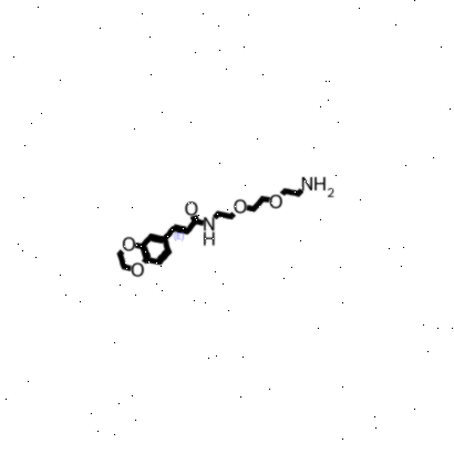 NCCOCCOCCNC(=O)/C=C/c1ccc2c(c1)OCCO2